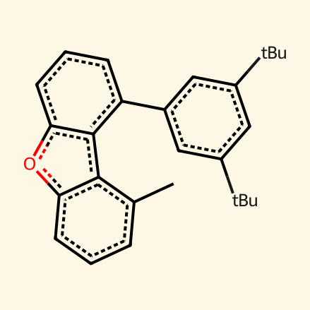 Cc1cccc2oc3cccc(-c4cc(C(C)(C)C)cc(C(C)(C)C)c4)c3c12